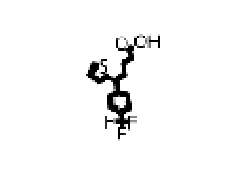 O=C(O)C=CC=C(c1ccc(C(F)(F)F)cc1)c1cccs1